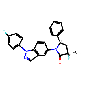 C[C@@]1(F)[CH][C@H](c2ccccc2)N(c2ccc3c(cnn3-c3ccc(F)cc3)c2)C1=O